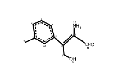 Cc1cccc(/C(CO)=C(\N)C=O)c1